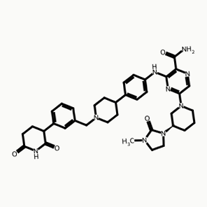 CN1CCN([C@@H]2CCCN(c3cnc(C(N)=O)c(Nc4ccc(C5CCN(Cc6cccc(C7CCC(=O)NC7=O)c6)CC5)cc4)n3)C2)C1=O